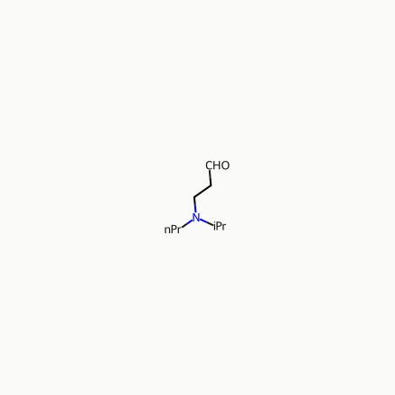 CCCN(CCC=O)C(C)C